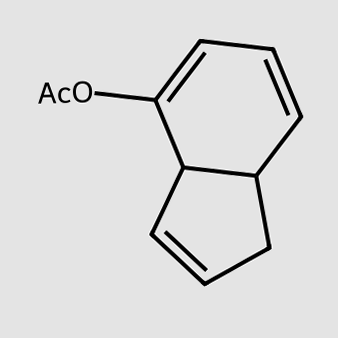 CC(=O)OC1=CC=CC2CC=CC12